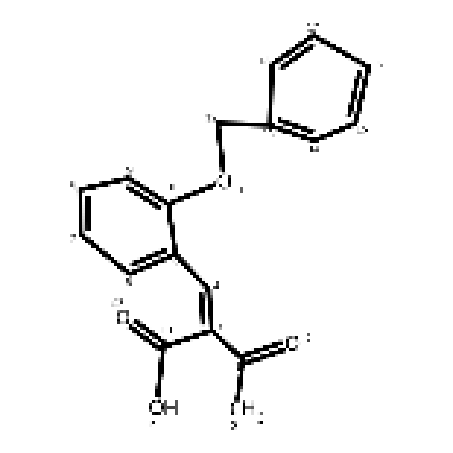 CC(=O)C(=Cc1ccccc1OCc1ccccc1)C(=O)O